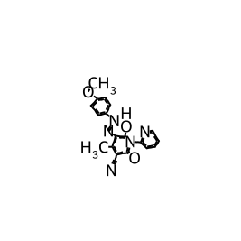 COc1ccc(N=Nc2c(C)c(C#N)c(=O)n(-c3ccccn3)c2O)cc1